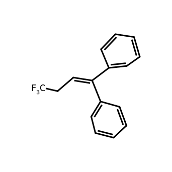 FC(F)(F)CC=C(c1ccccc1)c1ccccc1